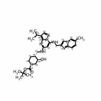 Cc1ccc2nc(CNc3cc(NC[C@H]4CCN(C(=O)OC(C)(C)C)C[C@@H]4O)nc4c(C(C)C)cnn34)cn2c1